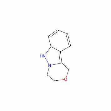 C1=CC2=C3COCCN3NC2C=C1